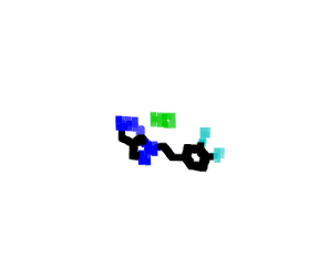 Cl.NCc1cnn(CCc2ccc(F)c(F)c2)c1